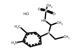 CCN(c1ccc(N)c(C)c1)C(C)NS(C)(=O)=O.Cl